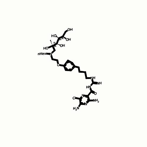 CCCCCCN(CCOc1ccc(CCCCNC(=N)NC(=O)c2nc(Cl)c(N)nc2N)cc1)C[C@@](C)(O)[C@@H](O)[C@H](O)[C@H](O)CO